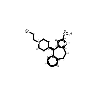 N#CCCN1CCC(=C2c3ccccc3CCc3sc(C(=O)O)cc32)CC1